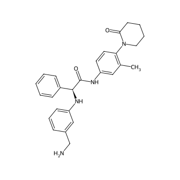 Cc1cc(NC(=O)[C@@H](Nc2cccc(CN)c2)c2ccccc2)ccc1N1CCCCC1=O